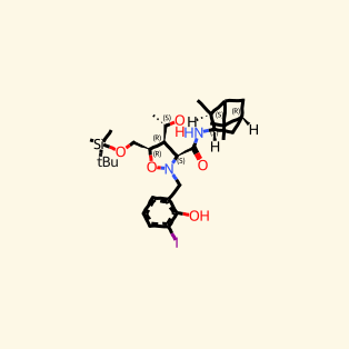 C[C@H](O)[C@@H]1[C@H](CO[Si](C)(C)C(C)(C)C)ON(Cc2cccc(I)c2O)[C@@H]1C(=O)N[C@H]1C[C@H]2CC([C@@H]1C)C2(C)C